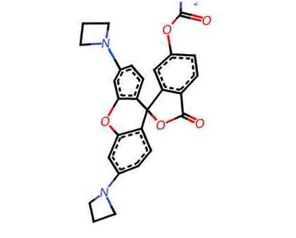 NC(=O)Oc1ccc2c(c1)C1(OC2=O)c2ccc(N3CCC3)cc2Oc2cc(N3CCC3)ccc21